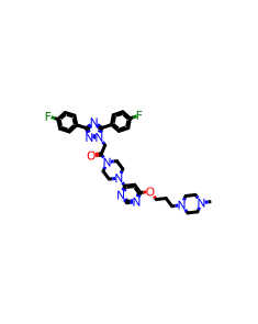 CN1CCN(CCCOc2cc(N3CCN(C(=O)Cn4nc(-c5ccc(F)cc5)nc4-c4ccc(F)cc4)CC3)ncn2)CC1